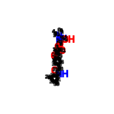 CCN(CC)/[N+](O)=N/OOC(=O)C(C)(C)Oc1ccc(CC(=O)Nc2cc(C)cc(C)c2)cc1